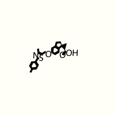 Cc1ccc(-c2nc(C)c(COc3ccc4c(c3)CC[C@]43C[C@H]3C(=O)O)s2)cc1